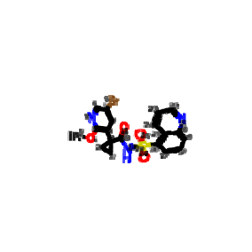 CC(C)Oc1ncc(Br)cc1C1(C(=O)NS(=O)(=O)c2cccc3ncccc23)CC1